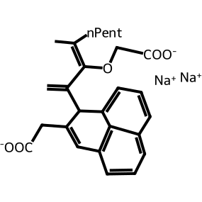 C=C(C(OCC(=O)[O-])=C(C)CCCCC)C1C(CC(=O)[O-])=Cc2cccc3cccc1c23.[Na+].[Na+]